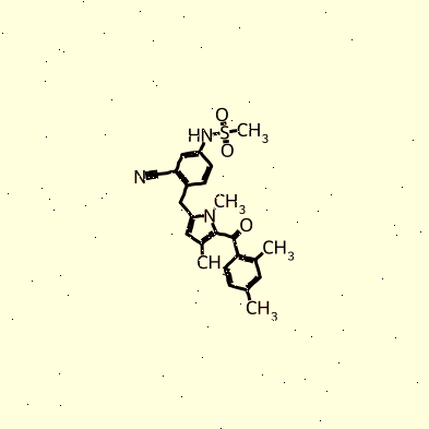 Cc1ccc(C(=O)c2c(C)cc(Cc3ccc(NS(C)(=O)=O)cc3C#N)n2C)c(C)c1